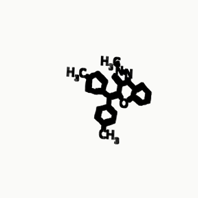 Cc1ccc(C(=C2Oc3ccccc3-c3nn(C)cc32)c2ccc(C)cc2)cc1